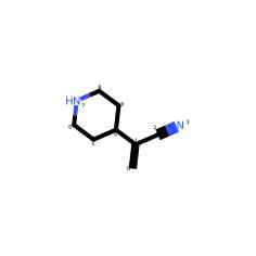 C=C(C#N)C1CCNCC1